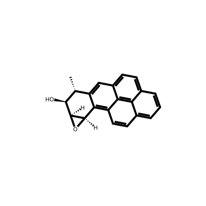 C[C@@H]1c2cc3ccc4cccc5ccc(c2[C@H]2O[C@H]2[C@H]1O)c3c45